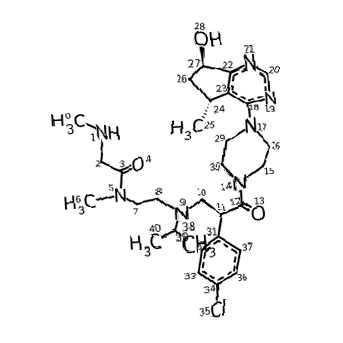 CNCC(=O)N(C)CCN(C[C@@H](C(=O)N1CCN(c2ncnc3c2[C@H](C)C[C@H]3O)CC1)c1ccc(Cl)cc1)C(C)C